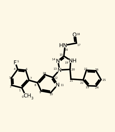 Cc1ccc(F)cc1-c1ccnc(N2N=C(NC=O)NC2Cc2ccccc2)c1